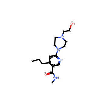 CCCc1cc(N2CCN(CCO)CC2)ncc1C(=O)NC